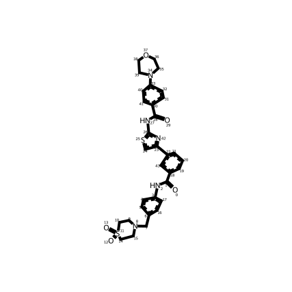 O=C(Nc1ccc(CN2CCS(=O)(=O)CC2)cc1)c1cccc(-c2csc(NC(=O)c3ccc(N4CCOCC4)cc3)n2)c1